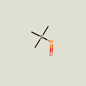 C[Si](C)(C)P=O